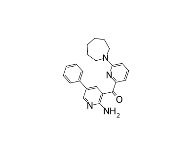 Nc1ncc(-c2ccccc2)cc1C(=O)c1cccc(N2CCCCCC2)n1